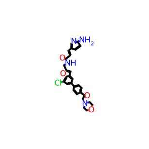 Nc1ccc(C=CC(=O)NCc2cc3cc(-c4ccc(C(=O)CN5CCOCC5)cc4)cc(Cl)c3o2)cn1